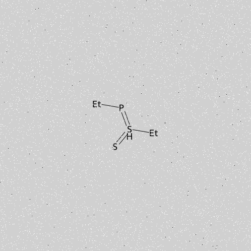 CCP=[SH](=S)CC